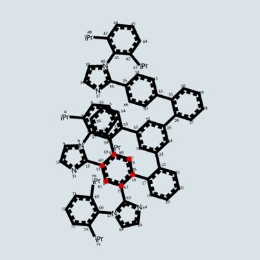 CC(C)c1cccc(C(C)C)c1-n1ccnc1-c1ccc(-c2ccccc2-c2cc(-c3ccccc3-c3ccc(-c4nccn4-c4c(C(C)C)cccc4C(C)C)cc3)cc(-c3ccccc3-c3ccc(-c4nccn4-c4c(C(C)C)cccc4C(C)C)cc3)c2)cc1